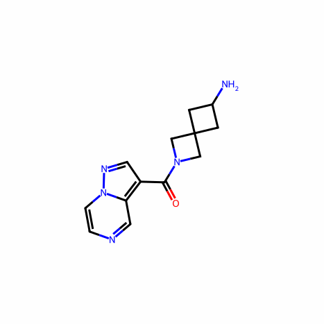 NC1CC2(C1)CN(C(=O)c1cnn3ccncc13)C2